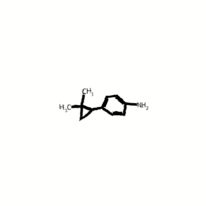 CC1(C)CC1c1ccc(N)cc1